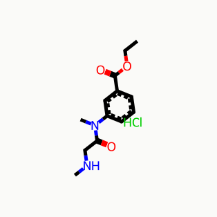 CCOC(=O)c1cccc(N(C)C(=O)CNC)c1.Cl